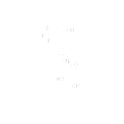 CCC[C@H](CO)C(=O)N1CC2(CC(Cc3cc(C)ccc3C(F)(F)F)C2)C1